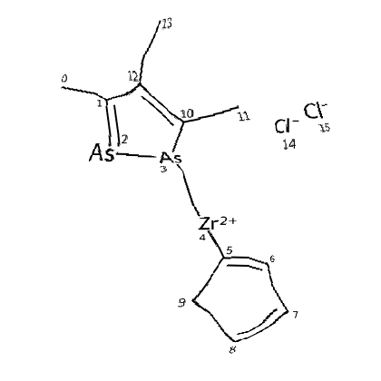 CC1=[As][As]([Zr+2][C]2=CC=CC2)C(C)=C1C.[Cl-].[Cl-]